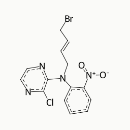 O=[N+]([O-])c1ccccc1N(CC=CCBr)c1nccnc1Cl